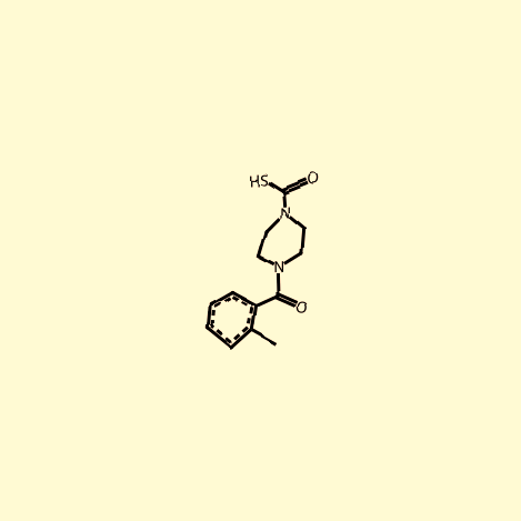 Cc1ccccc1C(=O)N1CCN(C(=O)S)CC1